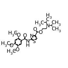 COc1cc(OC)c(C(=O)Nc2nc(C(=O)OCCN(C(C)C)C(C)C)cs2)cc1OC